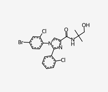 CC(C)(CO)NC(=O)c1cn(-c2ccc(Br)cc2Cl)c(-c2ccccc2Cl)n1